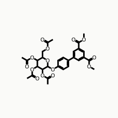 COC(=O)c1cc(C(=O)OC)cc(-c2ccc(OC3OC(COC(C)=O)C(OC(C)=O)C(OC(C)=O)C3OC(C)=O)cc2)c1